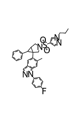 CCCn1cc(S(=O)(=O)N2CC3C(c4ccccc4)C3(c3cc4cnn(-c5ccc(F)cc5)c4cc3C)C2)cn1